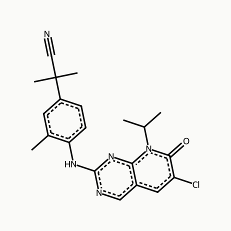 Cc1cc(C(C)(C)C#N)ccc1Nc1ncc2cc(Cl)c(=O)n(C(C)C)c2n1